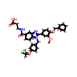 COc1cc(-c2nc3cc(C(=O)NCCC(=O)O)ccc3n2Cc2ccc(OC(F)(F)F)cc2)ccc1OCc1ccccc1